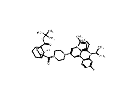 CCC(=O)N(c1cc(F)ccc1-c1cc(N2CCN(C(=O)[C@H]3C4CCC(CC4)N3C(=O)OC(C)(C)C)CC2)cn2c(C)ncc12)C(C)C